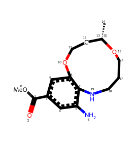 COC(=O)c1cc(N)c2c(c1)OCC[C@H](C)OCCCN2